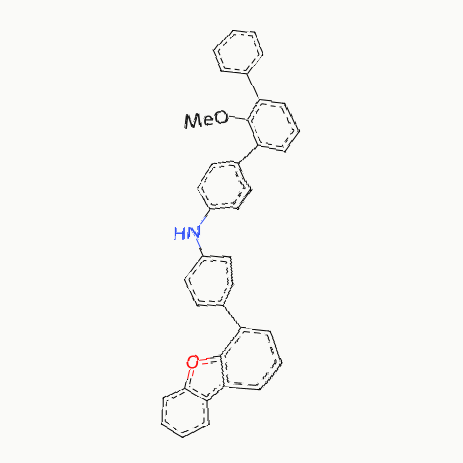 COc1c(-c2ccccc2)cccc1-c1ccc(Nc2ccc(-c3cccc4c3oc3ccccc34)cc2)cc1